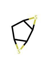 C1C2SC2C2SC12